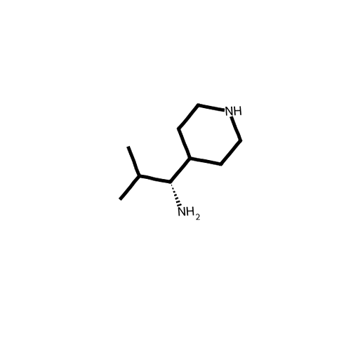 CC(C)[C@@H](N)C1CCNCC1